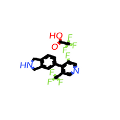 Fc1cncc(C(F)(F)F)c1-c1ccc2c(c1)CNC2.O=C(O)C(F)(F)F